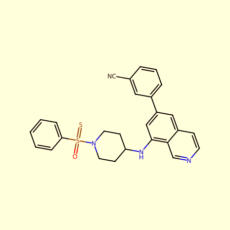 N#Cc1cccc(-c2cc(NC3CCN(S(=O)(=S)c4ccccc4)CC3)c3cnccc3c2)c1